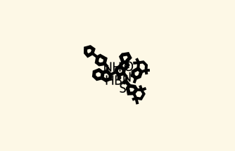 Cc1cc2c(cc1N1c3c(sc4cc5c(cc34)C(C)(C)CCC5(C)C)Bc3c(-c4ccc5ccccc5c4Nc4ccc(-c5ccccc5)cc4)cc4c(oc5ccccc54)c31)C(C)(C)CCC2(C)C